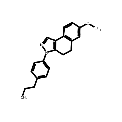 CCCc1ccc(-n2ncc3c2CCc2cc(OC)ccc2-3)cc1